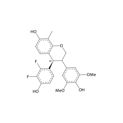 COc1cc(C2COc3c(ccc(O)c3C)[C@@H]2c2ccc(O)c(F)c2F)cc(OC)c1O